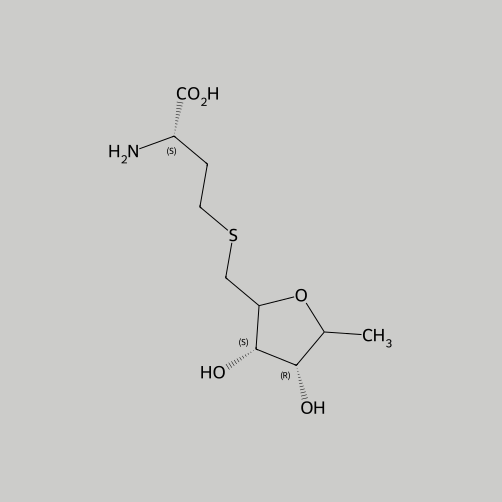 CC1OC(CSCC[C@H](N)C(=O)O)[C@@H](O)[C@H]1O